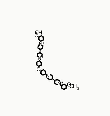 COc1cccc(-[n+]2ccc(-c3cc[n+](-c4ccc(Oc5ccc(-[n+]6ccc(-c7cc[n+](-c8cccc(OC)c8)cc7)cc6)cc5)cc4)cc3)cc2)c1